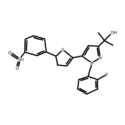 CC(C)(O)c1cc(C2=CCC(c3cccc([SH](=O)=O)c3)S2)n(-c2ccccc2F)n1